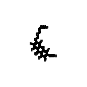 COCCOCOc1c(F)c(F)c2c(=O)c3c(F)c(F)c(OC)c(F)c3oc2c1F